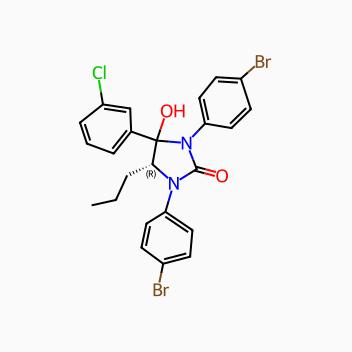 CCC[C@H]1N(c2ccc(Br)cc2)C(=O)N(c2ccc(Br)cc2)C1(O)c1cccc(Cl)c1